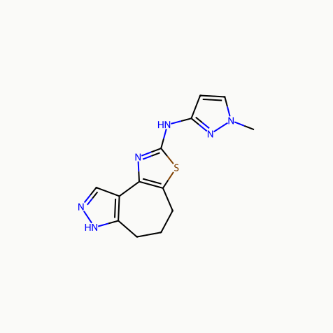 Cn1ccc(Nc2nc3c(s2)CCCc2[nH]ncc2-3)n1